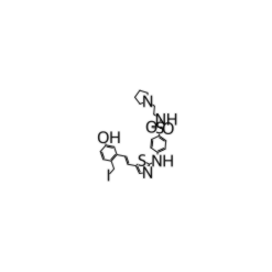 O=S(=O)(NCCN1CCCC1)c1ccc(Nc2ncc(C=Cc3cc(O)ccc3CI)s2)cc1